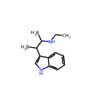 BC(NCC)C(B)c1c[nH]c2ccccc12